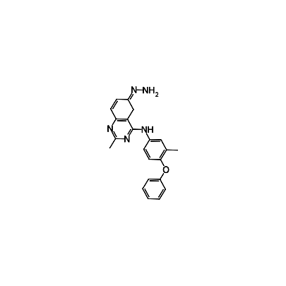 Cc1nc2c(c(Nc3ccc(Oc4ccccc4)c(C)c3)n1)CC(=NN)C=C2